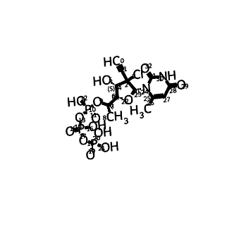 C#CC1(Cl)[C@@H](O)[C@@H]([C@@H](C)OP(=O)(O)OP(=O)(O)OP(=O)(O)O)O[C@H]1n1c(C)cc(=O)[nH]c1=O